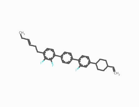 C=CC1CCC(c2ccc(-c3ccc(-c4ccc(CC/C=C/CC)c(F)c4F)cc3)c(F)c2)CC1